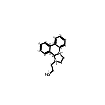 SCCN1CCN2c3ccccc3-c3ccccc3C12